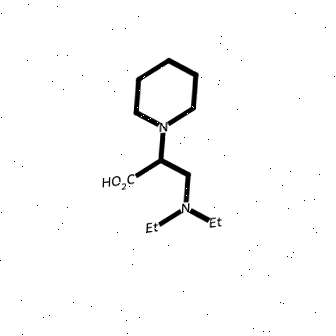 CCN(CC)CC(C(=O)O)N1CCCCC1